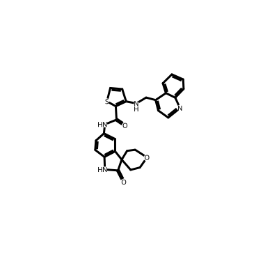 O=C(Nc1ccc2c(c1)C1(CCOCC1)C(=O)N2)c1sccc1NCc1ccnc2ccccc12